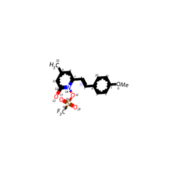 COc1ccc(/C=C/c2cc(C)cc(=O)n2OS(=O)(=O)C(F)(F)F)cc1